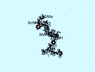 C=C(C(=O)N[C@@H](C)C(=O)N(C)[C@@H](C)C(=O)N[C@H](C(=O)NC)[C@H](OC(=O)[C@@H](NC(=O)CC)[C@H](OP(=O)(O)OCc1ccc(NC(=O)[C@H](CCCNC(N)=O)NC(=O)[C@@H](NC(=O)CCN2C(=O)C=CC2=O)C(C)C)cc1)C(C)C)C(C)C)N(C)C(=O)[C@@H](Cc1ccccc1)OC(=O)[C@@H](NC(C)=O)[C@@H](C)OC(=O)C[C@@H](C)OC